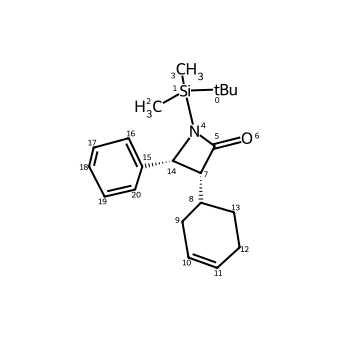 CC(C)(C)[Si](C)(C)N1C(=O)[C@H](C2CC=CCC2)[C@@H]1c1ccccc1